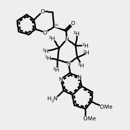 [2H]C1([2H])N(C(=O)[C@@H]2COc3ccccc3O2)C([2H])([2H])C([2H])([2H])N(c2nc(N)c3cc(OC)c(OC)cc3n2)C1([2H])[2H]